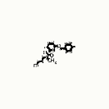 CN(CCCCl)S(=O)(=O)c1cccc(OCc2ccccc2)n1